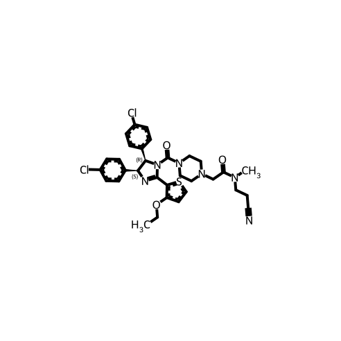 CCOc1ccsc1C1=N[C@@H](c2ccc(Cl)cc2)[C@@H](c2ccc(Cl)cc2)N1C(=O)N1CCN(CC(=O)N(C)CCC#N)CC1